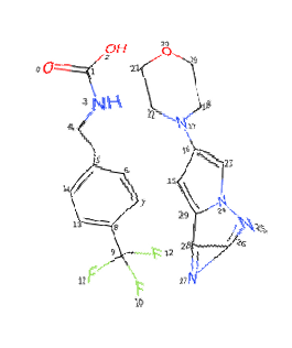 O=C(O)NCc1ccc(C(F)(F)F)cc1.c1c(N2CCOCC2)cn2nc3nc3c12